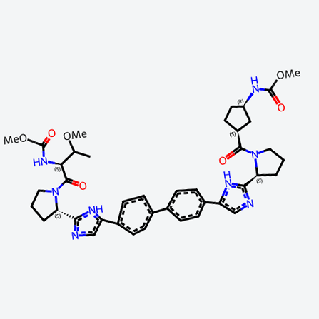 COC(=O)N[C@@H]1CC[C@H](C(=O)N2CCC[C@H]2c2ncc(-c3ccc(-c4ccc(-c5cnc([C@@H]6CCCN6C(=O)[C@@H](NC(=O)OC)C(C)OC)[nH]5)cc4)cc3)[nH]2)C1